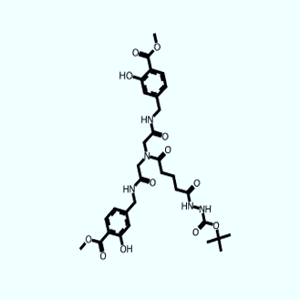 COC(=O)c1ccc(CNC(=O)CN(CC(=O)NCc2ccc(C(=O)OC)c(O)c2)C(=O)CCCC(=O)NNC(=O)OC(C)(C)C)cc1O